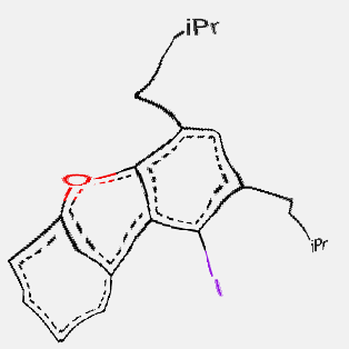 CC(C)Cc1cc(CC(C)C)c2oc3ccccc3c2c1I